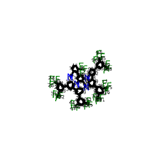 N#Cc1cccc(C(F)(F)F)c1-c1cc(-n2c3ccc(-c4cc(C(F)(F)F)cc(C(F)(F)F)c4)cc3c3cc(-c4cc(C(F)(F)F)cc(C(F)(F)F)c4)ccc32)c(C#N)c(-n2c3ccc(-c4cc(C(F)(F)F)cc(C(F)(F)F)c4)cc3c3cc(-c4cc(C(F)(F)F)cc(C(F)(F)F)c4)ccc32)c1